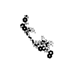 C[C@@H](C(=O)NC(C(=O)N1Cc2cc(OCCOCCOCCOCCOc3cc4nccc(Nc5ccc6scnc6c5)c4cc3S(=O)(=O)C(C)(C)C)ccc2C[C@H]1C(=O)N[C@@H]1CCCc2ccccc21)C(C)(C)C)N(C)C(=O)OC(C)(C)C